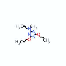 C=CCOc1nc(OCC=C)nc(N(C)CC=C)n1